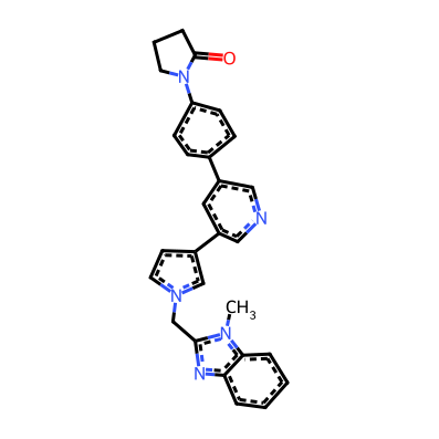 Cn1c(Cn2ccc(-c3cncc(-c4ccc(N5CCCC5=O)cc4)c3)c2)nc2ccccc21